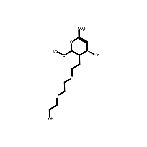 CCOC1OC(C(=O)O)=C[C@@H](C(C)C)C1CCOCCOCCO